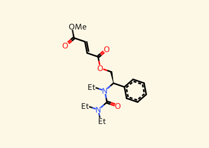 CCN(CC)C(=O)N(CC)[C@@H](COC(=O)/C=C/C(=O)OC)c1ccccc1